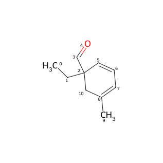 CCC1(C=O)C=CC=C(C)C1